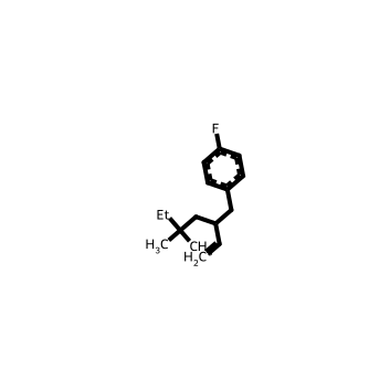 C=CC(Cc1ccc(F)cc1)CC(C)(C)CC